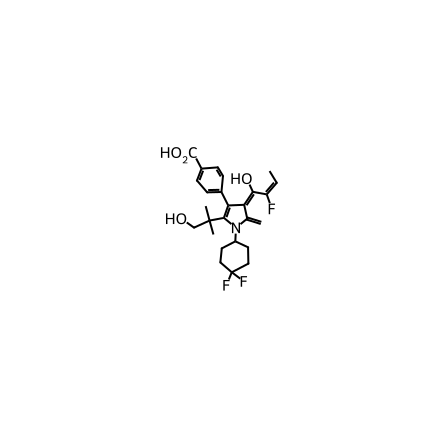 C=c1/c(=C(O)\C(F)=C/C)c(-c2ccc(C(=O)O)cc2)c(C(C)(C)CO)n1C1CCC(F)(F)CC1